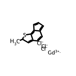 CC1C=c2ccc3c(c2S1)C=CC=3.[Cl-].[Cl-].[Cl-].[Gd+3]